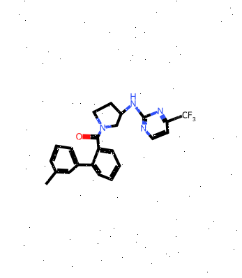 Cc1cccc(-c2ccccc2C(=O)N2CCC(Nc3nccc(C(F)(F)F)n3)C2)c1